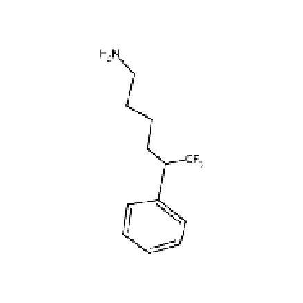 NCCCCC(c1ccccc1)C(F)(F)F